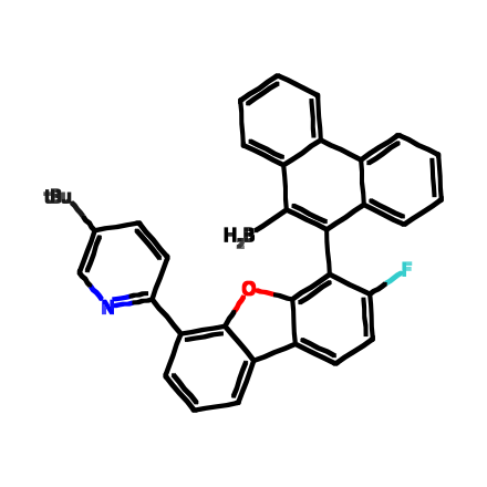 Bc1c(-c2c(F)ccc3c2oc2c(-c4ccc(C(C)(C)C)cn4)cccc23)c2ccccc2c2ccccc12